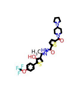 C/C(=N\NC(=O)c1ccc(C(=O)N2CCC(N3CCCC3)CC2)s1)c1csc(-c2ccc(OC(F)(F)F)cc2)c1O